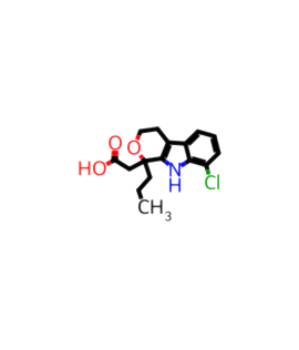 CCCC1(CC(=O)O)OCCc2c1[nH]c1c(Cl)cccc21